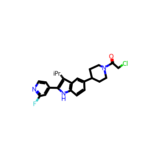 CC(C)c1c(-c2ccnc(F)c2)[nH]c2ccc(C3CCN(C(=O)CCl)CC3)cc12